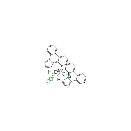 [CH2]=[Zr+2]([CH3])([CH3])([CH]1C=CC=c2c1c1c(c3ccccc23)=CC=C1)[CH]1C=CC=c2c1c1c(c3ccccc23)=CC=C1.[Cl-].[Cl-]